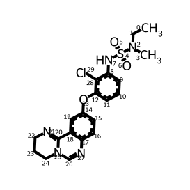 CCN(C)S(=O)(=O)Nc1cccc(Oc2ccc3c(c2)C2=NCCCN2C=N3)c1Cl